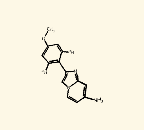 [3H]c1cc(OC)cc([3H])c1-c1cn2ccc(N)cc2n1